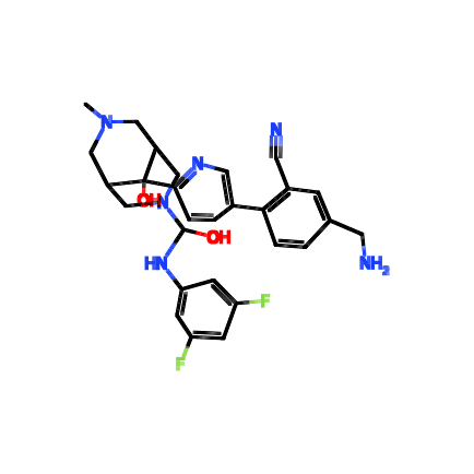 CN1CC2CN(C(O)Nc3cc(F)cc(F)c3)CC(C1)C2(O)c1ccc(-c2ccc(CN)cc2C#N)cn1